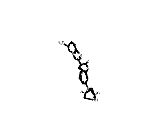 Cc1ccc2nc(-c3cc4ccc(N5C[C@@H]6C[C@H]5CN6)cc4oc3=O)cn2c1